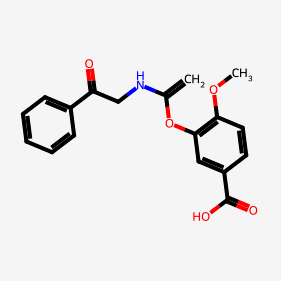 C=C(NCC(=O)c1ccccc1)Oc1cc(C(=O)O)ccc1OC